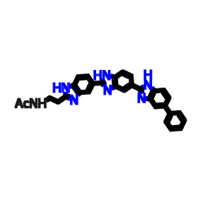 CC(=O)NCCc1nc2cc(-c3nc4cc(-c5nc6cc(-c7ccccc7)ccc6[nH]5)ccc4[nH]3)ccc2[nH]1